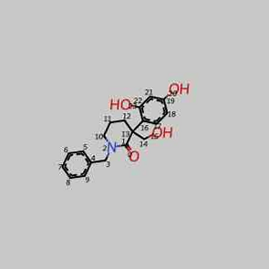 O=C1N(Cc2ccccc2)CCCC1(CO)c1ccc(O)cc1O